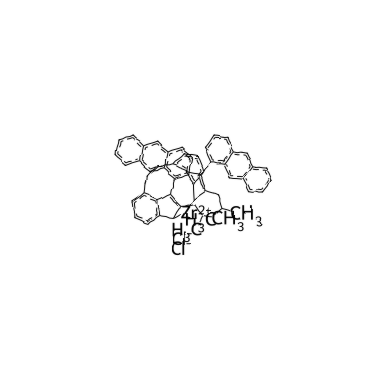 CC(C)CC1=C(c2cccc3cc4ccccc4cc23)c2c3cccc2[CH]1[Zr+2][CH]1C(CC(C)C)=C(c2cccc4cc5ccccc5cc24)c2c(cccc21)CC3.[Cl-].[Cl-]